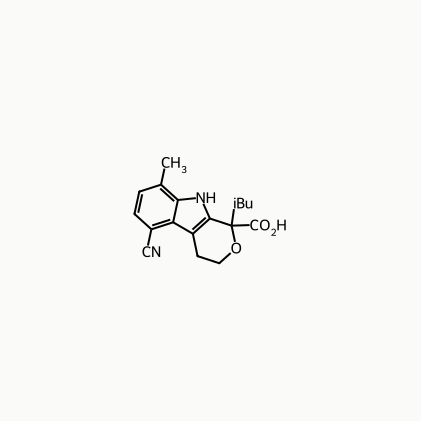 CCC(C)C1(C(=O)O)OCCc2c1[nH]c1c(C)ccc(C#N)c21